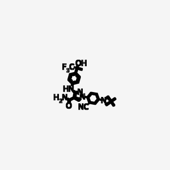 CC1(C)CN([C@@H]2CC[C@H](n3cc(C(N)=O)c(Nc4ccc([C@@](C)(O)C(F)(F)F)cc4)n3)[C@@H](C#N)C2)C1